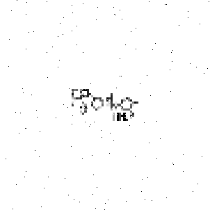 Cc1ccccc1C(=O)c1ccc(SNc2ccc(C)c3cc[nH]c23)cc1Cl